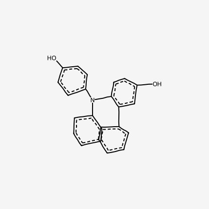 Oc1ccc(N(c2ccccc2)c2ccc(O)cc2-c2ccccc2)cc1